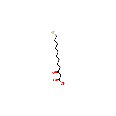 O=C(O)CC(=O)CCCCCCCCCS